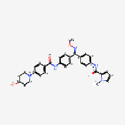 CO/N=C(\c1ccc(NC(=O)c2ccc(N3CCC(O)CC3)cc2)cc1)c1ccc(NC(=O)c2cccn2C)cc1